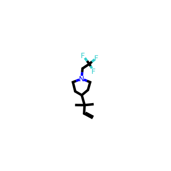 C=CC(C)(C)C1CCN(CC(F)(F)F)CC1